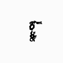 CCCCCO[C@H]1CC[C@H](CCc2ccc(C#N)c(F)c2F)CC1